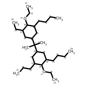 CCCCC1CC(C(C)(C)C2CC(CCC)C(OCC)C(CCCC)C2)CC(CC)C1OCC